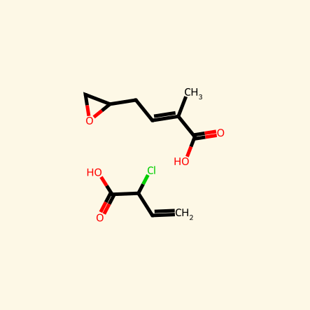 C/C(=C\CC1CO1)C(=O)O.C=CC(Cl)C(=O)O